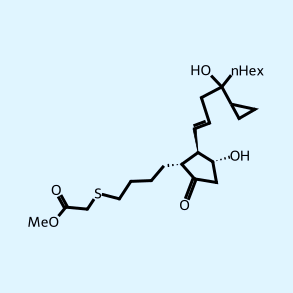 CCCCCCC(O)(CC=C[C@H]1[C@H](O)CC(=O)[C@@H]1CCCCSCC(=O)OC)C1CC1